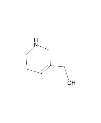 OCC1=CCCNC1